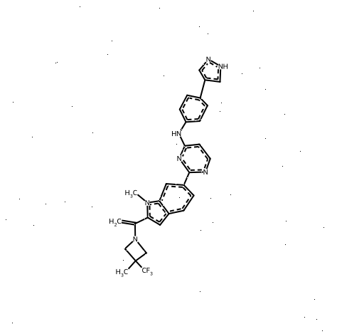 C=C(c1cc2ccc(-c3nccc(Nc4ccc(-c5cn[nH]c5)cc4)n3)cc2n1C)N1CC(C)(C(F)(F)F)C1